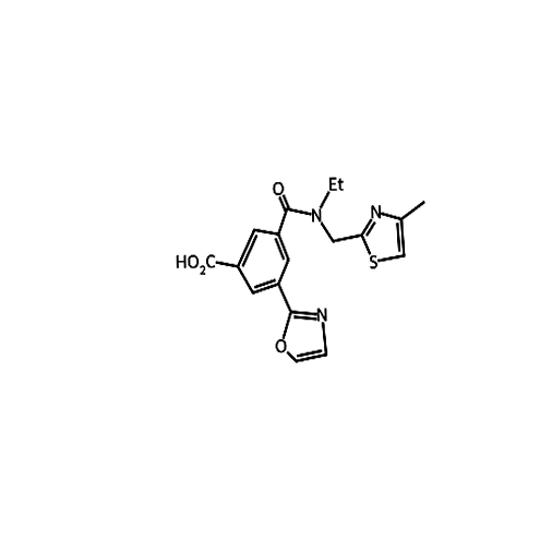 CCN(Cc1nc(C)cs1)C(=O)c1cc(C(=O)O)cc(-c2ncco2)c1